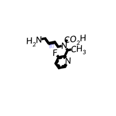 CC(c1ncccc1F)N(C/C=C/CN)C(=O)O